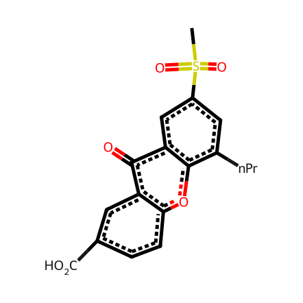 CCCc1cc(S(C)(=O)=O)cc2c(=O)c3cc(C(=O)O)ccc3oc12